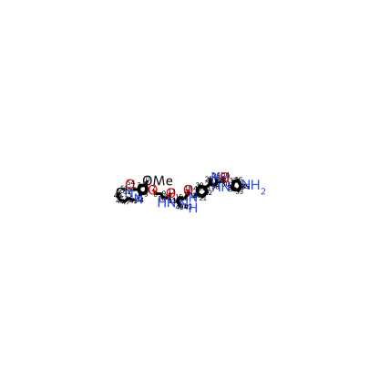 COc1cc2c(cc1OCCCC(=O)Nc1cc(C(=O)Nc3ccc(-c4c[nH]c(C(=O)Nc5ccc(N)cc5)c4)cc3)n(C)c1)N=CC1CCCCCN1C2=O